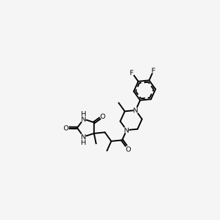 CC(CC1(C)NC(=O)NC1=O)C(=O)N1CCN(c2ccc(F)c(F)c2)C(C)C1